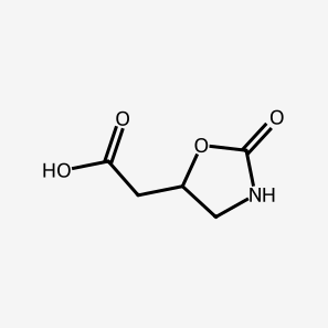 O=C(O)CC1CNC(=O)O1